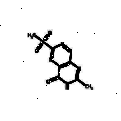 Cc1nc2cnc(S(C)(=O)=O)nc2c(=O)[nH]1